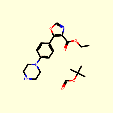 CC(C)(C)OC=O.CCOC(=O)c1ncoc1-c1ccc(N2CCNCC2)cc1